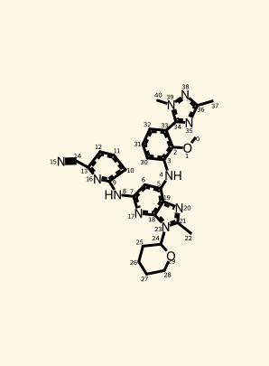 COc1c(Nc2cc(Nc3cccc(C#N)n3)nc3c2nc(C)n3C2CCCCO2)cccc1-c1nc(C)nn1C